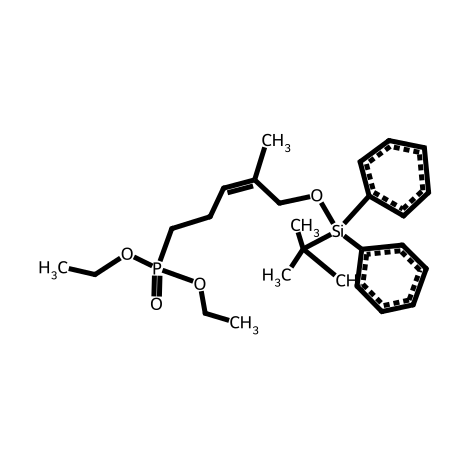 CCOP(=O)(CC/C=C(/C)CO[Si](c1ccccc1)(c1ccccc1)C(C)(C)C)OCC